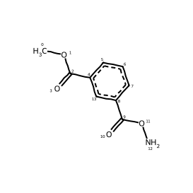 COC(=O)c1cccc(C(=O)ON)c1